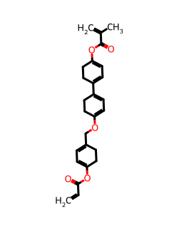 C=CC(=O)OC1=CC=C(COC2=CC=C(C3=CC=C(OC(=O)C(=C)C)CC3)CC2)CC1